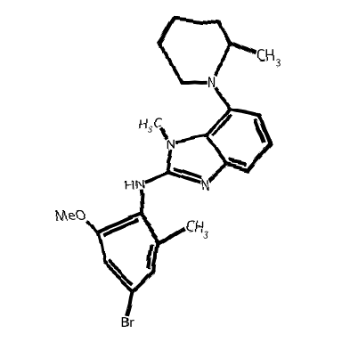 COc1cc(Br)cc(C)c1Nc1nc2cccc(N3CCCCC3C)c2n1C